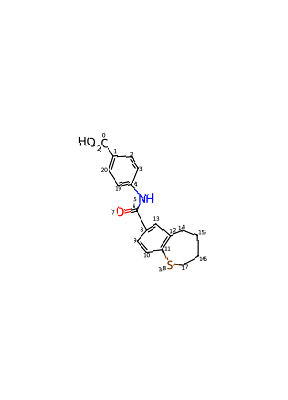 O=C(O)c1ccc(NC(=O)c2ccc3c(c2)CCCCS3)cc1